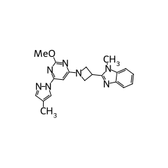 COc1nc(N2CC(c3nc4ccccc4n3C)C2)cc(-n2cc(C)cn2)n1